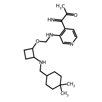 CC(=O)C(=N)c1ccncc1NCOC1CCC1NCC1CCC(C)(C)CC1